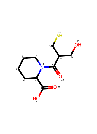 O=C(O)C1CCCCN1C(=O)C(CO)CS